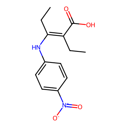 CCC(Nc1ccc([N+](=O)[O-])cc1)=C(CC)C(=O)O